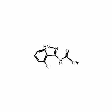 CCCC(=O)Nc1n[nH]c2cccc(Cl)c12